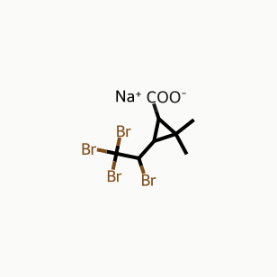 CC1(C)C(C(=O)[O-])C1C(Br)C(Br)(Br)Br.[Na+]